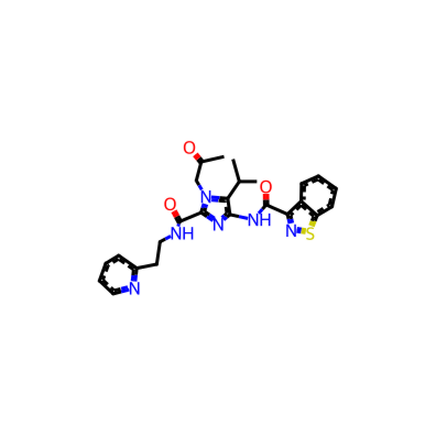 CC(=O)Cn1c(C(=O)NCCc2ccccn2)nc(NC(=O)c2nsc3ccccc23)c1C(C)C